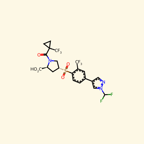 O=C(O)[C@@H]1C[C@@H](S(=O)(=O)c2ccc(-c3cnn(C(F)F)c3)cc2C(F)(F)F)CN1C(=O)C1(C(F)(F)F)CC1